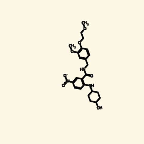 COCCOc1ccc(CNC(=O)c2cc([N+](=O)[O-])ccc2NC2CCC(O)CC2)cc1OC